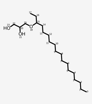 CCCCCCCCCCCCCCCC(CC)OCC(O)CO